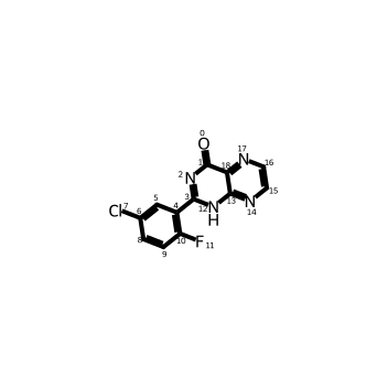 O=c1nc(-c2cc(Cl)ccc2F)[nH]c2nccnc12